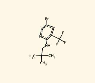 CC(C)(C)CNc1ncc(Br)cc1C(F)(F)F